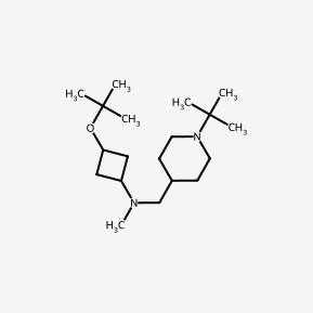 CN(CC1CCN(C(C)(C)C)CC1)C1CC(OC(C)(C)C)C1